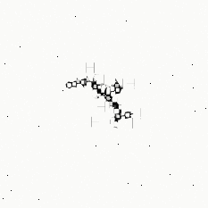 Cc1cc(S(=O)(=O)NC(=O)c2ccc(N3CCN(CC4=C(c5ccc(Cl)cc5)CC(C)(C)CC4)CC3)cc2Oc2cccc3[nH]ccc23)ccc1NC1CCN(C2Cc3ccccc3C2)CC1